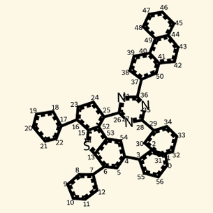 c1ccc(-c2cc(-c3ccccc3)c3sc4c(-c5ccccc5)ccc(-c5nc(-c6ccccc6)nc(-c6ccc7c(ccc8ccccc87)c6)n5)c4c3c2)cc1